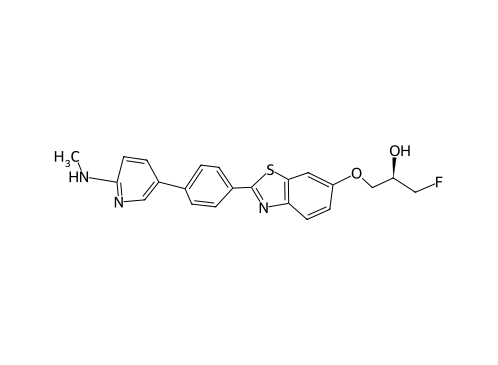 CNc1ccc(-c2ccc(-c3nc4ccc(OC[C@@H](O)CF)cc4s3)cc2)cn1